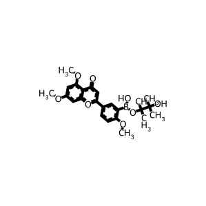 COc1cc(OC)c2c(=O)cc(-c3ccc(OC)c(B(O)OC(C)(C)C(C)(C)O)c3)oc2c1